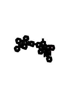 Cc1ccc2c(c1)c1ccccc1n2-c1c(-c2cccc(-c3ccc(N4c5ccccc5B5c6ccccc6N(c6ccccc6)c6cccc4c65)cc3)c2)cccc1-c1nc(-c2ccccc2)nc(-c2ccccc2)n1